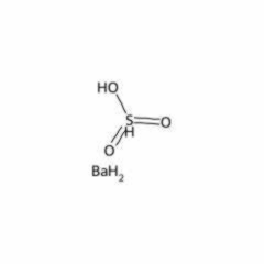 O=[SH](=O)O.[BaH2]